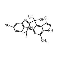 Cc1cc(OC(F)F)c(C(C)(O)c2nc3cc(C#N)ccc3[nH]2)c2c(Cl)c[nH]c12